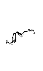 CC(=O)N1CCC(COCCN)CC1